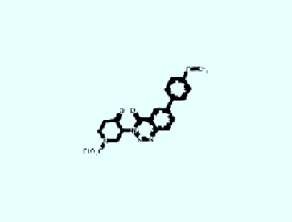 CCOC(=O)N1CCC(=O)C(n2nnc3ccc(-c4ccc(OC(F)(F)F)cc4)cc3c2=O)C1